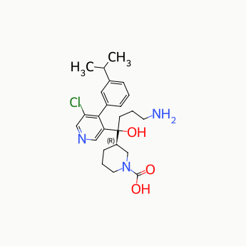 CC(C)c1cccc(-c2c(Cl)cncc2C(O)(CCCN)[C@@H]2CCCN(C(=O)O)C2)c1